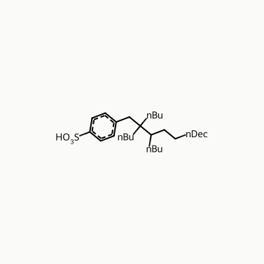 CCCCCCCCCCCCC(CCCC)C(CCCC)(CCCC)Cc1ccc(S(=O)(=O)O)cc1